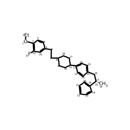 CCOc1ccc(CCC2CCC(c3ccc(C[C@H](C)c4ccccc4)cc3)CC2)cc1F